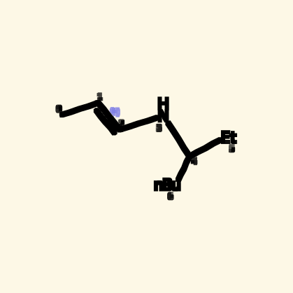 C/C=C/NC(CC)CCCC